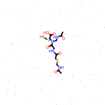 CC(=O)NCSCC(=O)NCC(=O)N(CNC(C)=O)[C@H](CS)C(=O)O